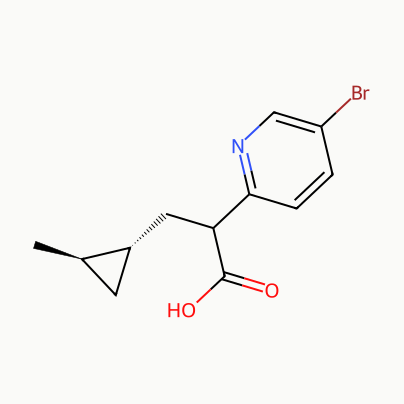 C[C@@H]1C[C@H]1CC(C(=O)O)c1ccc(Br)cn1